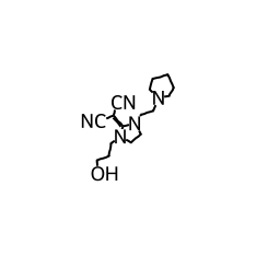 N#CC(C#N)=C1N(CCCO)CCN1CCN1CCCCC1